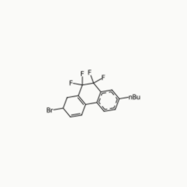 CCCCc1ccc2c(c1)C(F)(F)C(F)(F)C1=C2C=CC(Br)C1